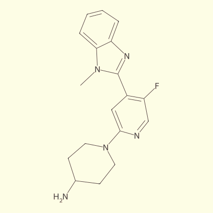 Cn1c(-c2cc(N3CCC(N)CC3)ncc2F)nc2ccccc21